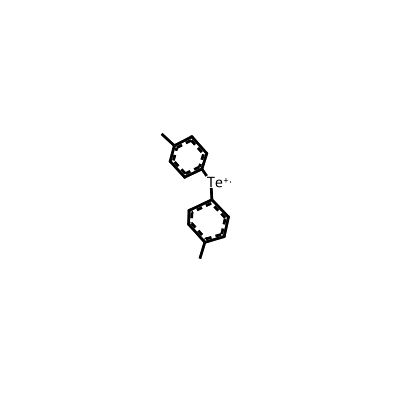 Cc1ccc([Te+]c2ccc(C)cc2)cc1